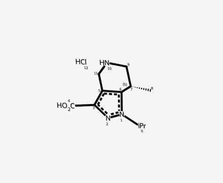 CC(C)n1nc(C(=O)O)c2c1[C@@H](C)CNC2.Cl